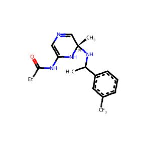 CCC(=O)NC1=CN=C[C@](C)(NC(C)c2cccc(C(F)(F)F)c2)N1